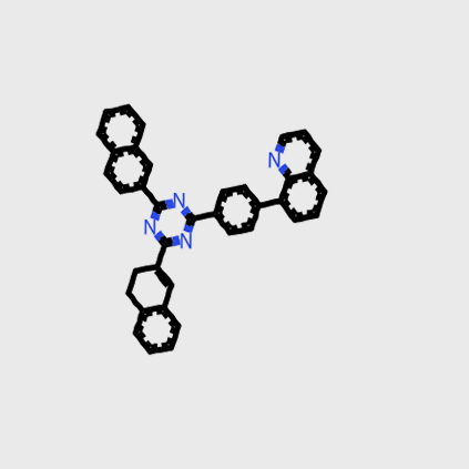 C1=C(c2nc(-c3ccc(-c4cccc5cccnc45)cc3)nc(-c3ccc4ccccc4c3)n2)CCc2ccccc21